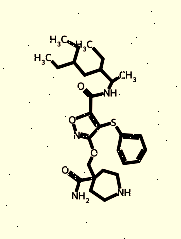 CCC(CC)CC(CC)C(C)NC(=O)c1onc(OCC2(C(N)=O)CCNCC2)c1Sc1ccccc1